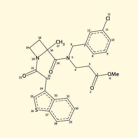 COC(=O)CCN(Cc1cccc(Cl)c1)C(=O)C1(C)CCN1C(=O)Cc1csc2ccccc12